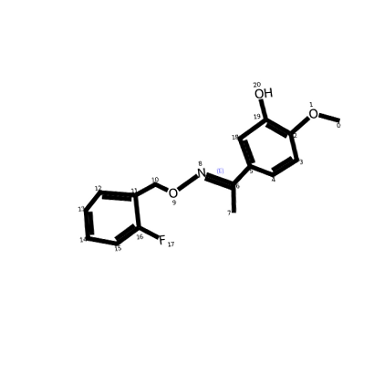 COc1ccc(/C(C)=N/OCc2ccccc2F)cc1O